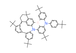 CC(C)(C)c1ccc(N2c3ccc(C(C)(C)C)cc3B3c4cc5c6cc4N(c4ccc(C(C)(C)C)cc4-c4ccc(C(C)(C)C)c(c4)C6(C)CCC5(C)C)c4cc(C(C)(C)C)cc2c43)cc1